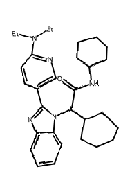 CCN(CC)c1ccc(-c2nc3ccccc3n2C(C(=O)NC2CCCCC2)C2CCCCC2)cn1